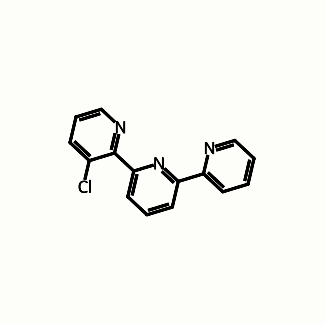 Clc1cccnc1-c1cccc(-c2ccccn2)n1